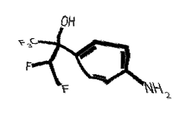 Nc1ccc(C(O)(C(F)F)C(F)(F)F)cc1